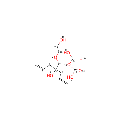 C=CCC(O)(CC=C)COCCO.O=C(O)OC(=O)O